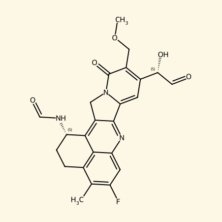 COCc1c([C@H](O)C=O)cc2n(c1=O)Cc1c-2nc2cc(F)c(C)c3c2c1[C@@H](NC=O)CC3